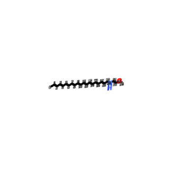 CCCCCCCCCCCCCCCCCCCCNCCOC